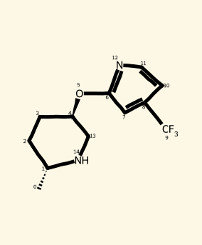 C[C@@H]1CC[C@@H](Oc2cc(C(F)(F)F)ccn2)CN1